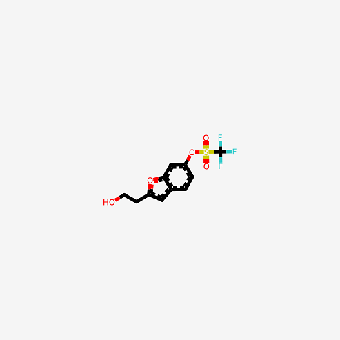 O=S(=O)(Oc1ccc2cc(CCO)oc2c1)C(F)(F)F